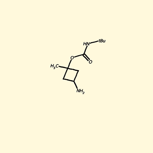 CC(C)(C)NC(=O)OC1(C)CC(N)C1